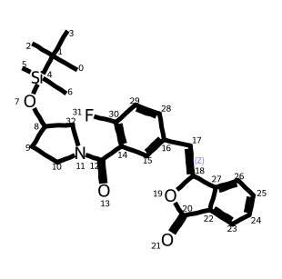 CC(C)(C)[Si](C)(C)OC1CCN(C(=O)c2cc(/C=C3\OC(=O)c4ccccc43)ccc2F)C1